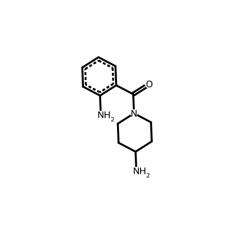 Nc1ccccc1C(=O)N1CCC(N)CC1